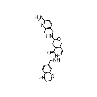 Cc1ccn(NCc2ccc3c(c2)OCCN3C)c(=O)c1CC(=O)NCc1ccc(N)nc1C